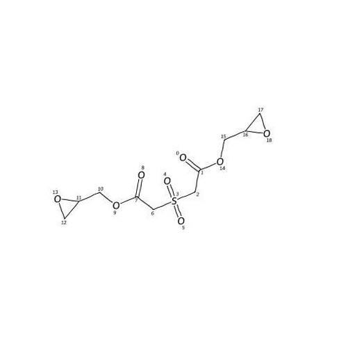 O=C(CS(=O)(=O)CC(=O)OCC1CO1)OCC1CO1